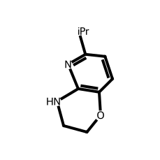 CC(C)c1ccc2c(n1)NCCO2